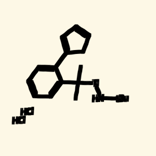 CC(C)(C)[NH][Ti][C](C)(C)c1ccccc1C1=CC=CC1.Cl.Cl